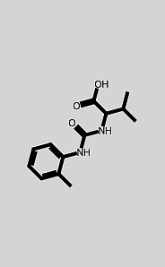 Cc1ccccc1NC(=O)NC(C(=O)O)C(C)C